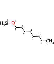 CCCCCCCCO[SiH3]